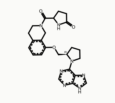 O=C1CCC(C(=O)N2CCc3cccc(OC[C@H]4CCCN4c4ncnc5[nH]cnc45)c3C2)N1